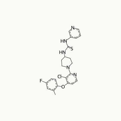 Cc1cc(F)ccc1Oc1ccnc(N2CCC(NC(=S)Nc3cccnc3)CC2)c1Cl